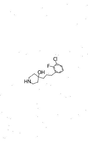 OC1(CCCc2cccc(Cl)c2F)CCNCC1